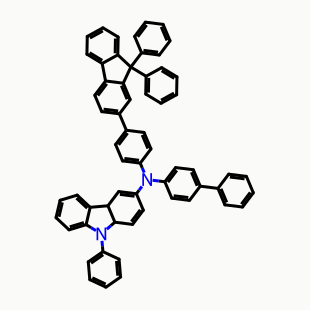 C1=CC2C(C=C1N(c1ccc(-c3ccccc3)cc1)c1ccc(-c3ccc4c(c3)C(c3ccccc3)(c3ccccc3)c3ccccc3-4)cc1)c1ccccc1N2c1ccccc1